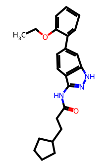 CCOc1ccccc1-c1ccc2c(NC(=O)CCC3CCCC3)n[nH]c2c1